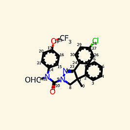 CC1(c2ccccc2)CN(C(=O)N(C=O)c2ccc(OC(F)(F)F)cc2)N=C1c1ccc(Cl)cc1